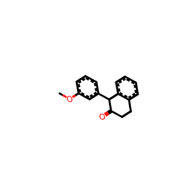 COc1cccc(C2C(=O)CCc3ccccc32)c1